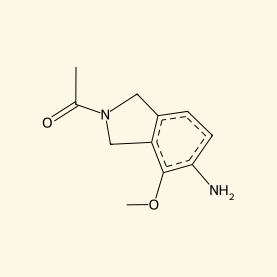 COc1c(N)ccc2c1CN(C(C)=O)C2